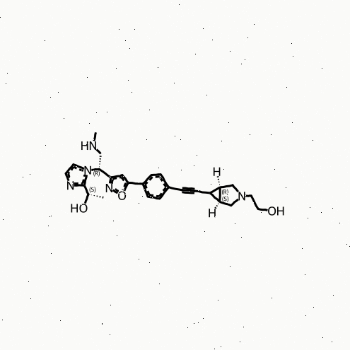 CNC[C@H](c1cc(-c2ccc(C#CC3[C@H]4CN(CCO)C[C@@H]34)cc2)on1)n1ccnc1[C@H](C)O